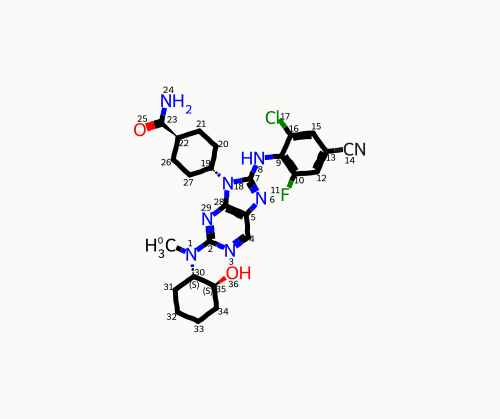 CN(c1ncc2nc(Nc3c(F)cc(C#N)cc3Cl)n([C@H]3CC[C@H](C(N)=O)CC3)c2n1)[C@H]1CCCC[C@@H]1O